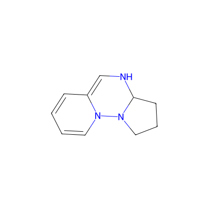 C1=CC2=CNC3CCCN3N2C=C1